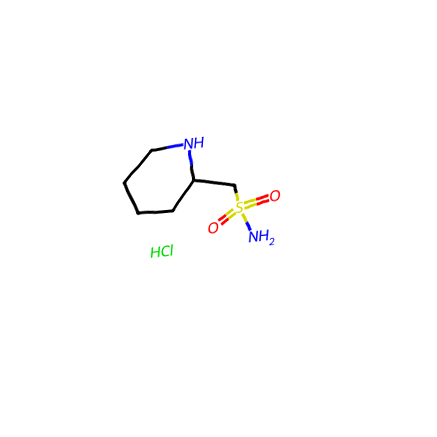 Cl.NS(=O)(=O)CC1CCCCN1